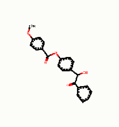 CCCCCCCCCCOc1ccc(C(=O)Oc2ccc(C(O)C(=O)c3ccccc3)cc2)cc1